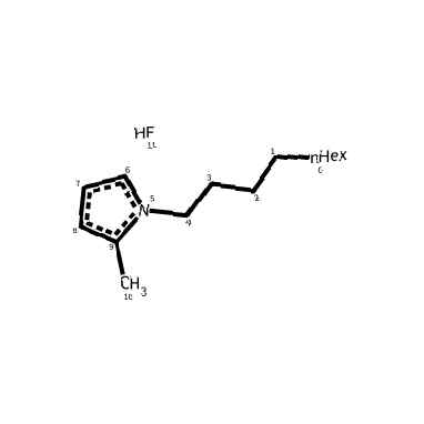 CCCCCCCCCCn1cccc1C.F